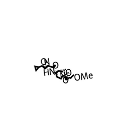 COCCS(=O)(=O)N1CC[C@@H](NC(=O)c2cc(C3CC3)on2)C[C@H]1C